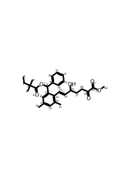 CCC(C)(C)C(=O)OC(c1ccccc1)c1cc(C)cc(C)c1/C=C/C(O)CCC(=O)C(=O)OC